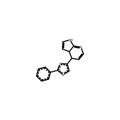 C1=CC(c2cnc(-c3ccccc3)s2)C2C=CNC2=N1